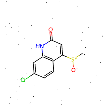 C[S+]([O-])c1cc(=O)[nH]c2cc(Cl)ccc12